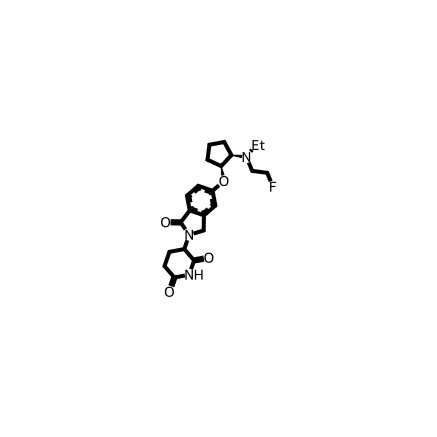 CCN(CCF)[C@@H]1CCC[C@@H]1Oc1ccc2c(c1)CN(C1CCC(=O)NC1=O)C2=O